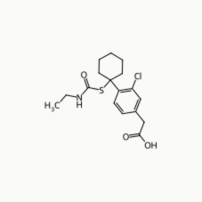 CCNC(=O)SC1(c2ccc(CC(=O)O)cc2Cl)CCCCC1